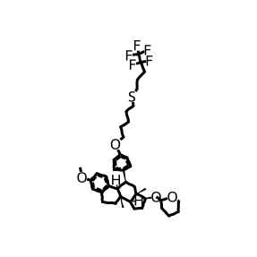 COc1ccc2c(c1)CC[C@@]1(C)[C@@H]3CC[C@H](OC4CCCCO4)[C@@]3(C)C[C@H](c3ccc(OCCCCCSCCCC(F)(F)C(F)(F)F)cc3)[C@H]21